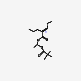 CC/C=C(\CCC)C(=O)OC(C)OC(=O)C(C)(C)C